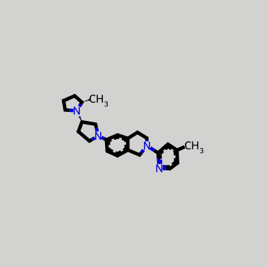 Cc1ccnc(N2CCc3cc(N4CC[C@H](N5CCC[C@@H]5C)C4)ccc3C2)c1